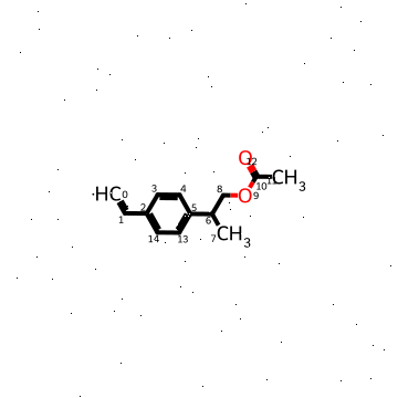 [CH]=Cc1ccc(C(C)COC(C)=O)cc1